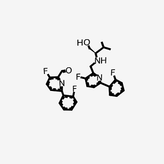 CC(C)[C@H](CO)NCc1nc(-c2ccccc2F)ccc1F.O=Cc1nc(-c2ccccc2F)ccc1F